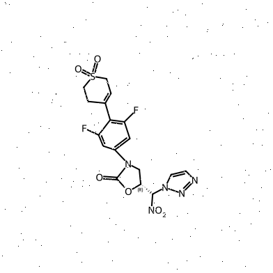 O=C1O[C@@H](C(n2ccnn2)[N+](=O)[O-])CN1c1cc(F)c(C2=CCS(=O)(=O)CC2)c(F)c1